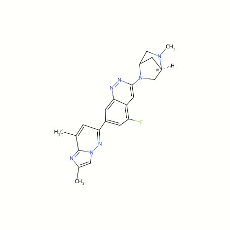 Cc1cn2nc(-c3cc(F)c4cc(N5C[C@H]6CC5CN6C)nnc4c3)cc(C)c2n1